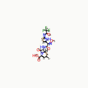 CO/N=C(/C(=O)NC1C(=O)N2C(C(=O)O)=CC(C)S[C@H]12)c1cs/c(=N/C(=O)C(F)(F)F)[nH]1